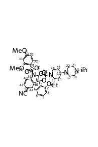 CCOc1ccccc1C1(OC(=O)N2CCC(N3CCN(C(C)C)CC3)CC2)C(=O)N(S(=O)(=O)c2ccc(OC)cc2OC)c2ccc(C#N)cc21